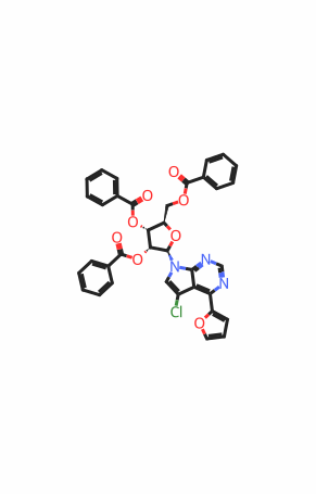 O=C(OC[C@H]1O[C@@H](n2cc(Cl)c3c(-c4ccco4)ncnc32)[C@H](OC(=O)c2ccccc2)[C@@H]1OC(=O)c1ccccc1)c1ccccc1